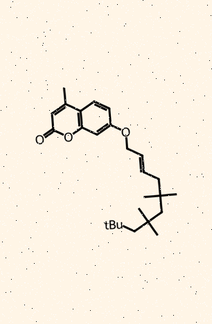 Cc1cc(=O)oc2cc(OC/C=C/CC(C)(C)CC(C)(C)CC(C)(C)C)ccc12